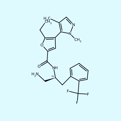 CCc1oc(C(=O)N[C@H](CN)Cc2ccccc2C(F)(F)F)cc1-c1c(C)cnn1C